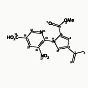 C=C(C)c1cc(C(=O)OC)n(-c2ncc(C(=O)O)cc2[N+](=O)[O-])c1